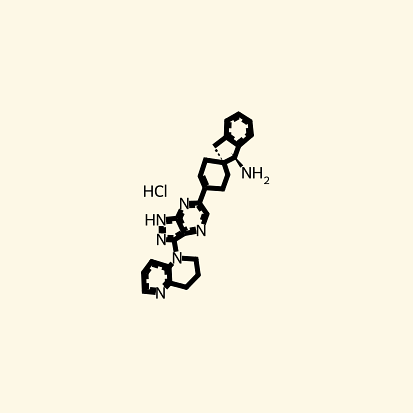 Cl.N[C@@H]1c2ccccc2C[C@]12CC=C(c1cnc3c(N4CCCc5ncccc54)n[nH]c3n1)CC2